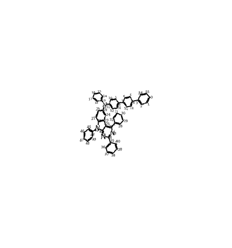 c1ccc(-c2ccc(-c3ccc(N(c4ccccc4)c4ccc5c(c4)c4c(-c6ccccc6)nc(-c6ccccc6)nc4n5-c4ccccc4)cc3)cc2)cc1